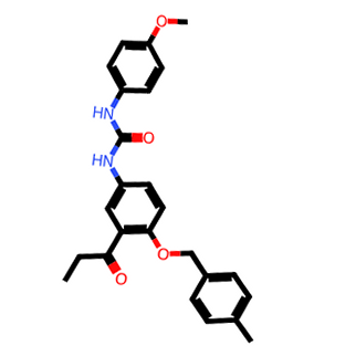 CCC(=O)c1cc(NC(=O)Nc2ccc(OC)cc2)ccc1OCc1ccc(C)cc1